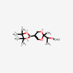 CC(OC=O)C1(C)OC=C(B2OC(C)(C)C(C)(C)O2)CO1